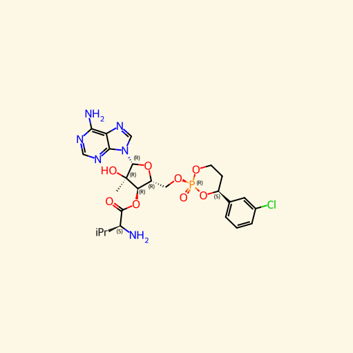 CC(C)[C@H](N)C(=O)O[C@@H]1[C@@H](CO[P@@]2(=O)OCC[C@@H](c3cccc(Cl)c3)O2)O[C@@H](n2cnc3c(N)ncnc32)[C@]1(C)O